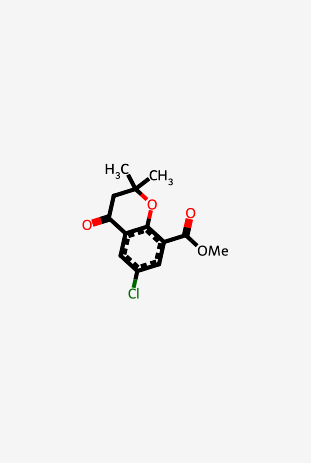 COC(=O)c1cc(Cl)cc2c1OC(C)(C)CC2=O